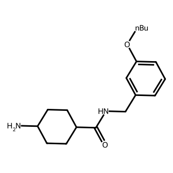 CCCCOc1cccc(CNC(=O)C2CCC(N)CC2)c1